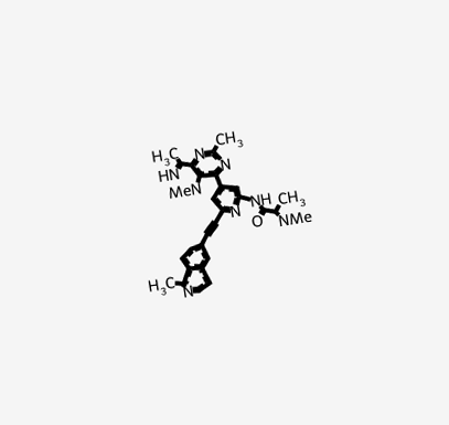 CNc1c(C(C)=N)nc(C)nc1-c1cc(C#Cc2ccc3c(C)nccc3c2)nc(NC(=O)C(C)NC)c1